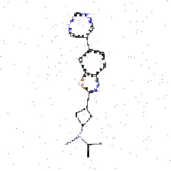 CC(C)N(C)C1CC(c2nc3ccc(-c4cncnc4)cc3s2)C1